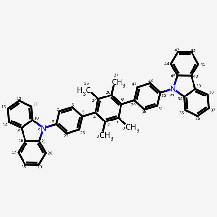 Cc1c(C)c(-c2ccc(-n3c4ccccc4c4ccccc43)cc2)c(C)c(C)c1-c1ccc(-n2c3ccccc3c3ccccc32)cc1